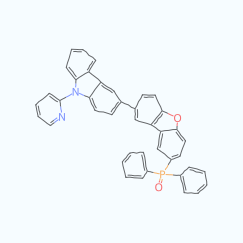 O=P(c1ccccc1)(c1ccccc1)c1ccc2oc3ccc(-c4ccc5c(c4)c4ccccc4n5-c4ccccn4)cc3c2c1